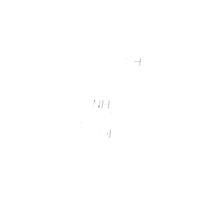 CCCCC1CCCCCC1(N)O